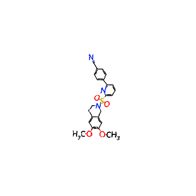 COc1cc2c(cc1OC)CN(S(=O)(=O)c1cccc(-c3ccc(C#N)cc3)n1)CC2